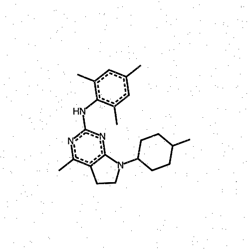 Cc1cc(C)c(Nc2nc(C)c3c(n2)N(C2CCC(C)CC2)CC3)c(C)c1